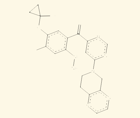 C=C(c1cc(N2CCc3nccnc3C2)ncn1)c1cc(OC2(C)CC2)c(F)cc1NN